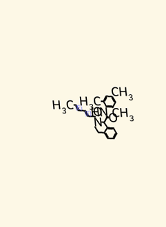 C/C=C/C=C/C(=O)N1CCc2ccccc2C1C(=O)Nc1c(C)cc(C)cc1C